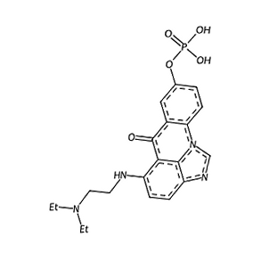 CCN(CC)CCNc1ccc2ncn3c4ccc(OP(=O)(O)O)cc4c(=O)c1c23